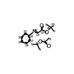 CC(=O)OC(C)C.CC(C)(C)OC(=O)C=Nc1ccccc1